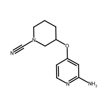 N#CN1CCCC(Oc2ccnc(N)c2)C1